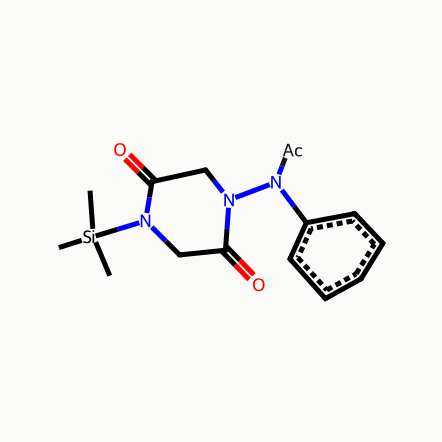 CC(=O)N(c1ccccc1)N1CC(=O)N([Si](C)(C)C)CC1=O